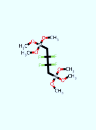 CO[Si](CC(F)(F)C(F)(F)C[Si](OC)(OC)OC)(OC)OC